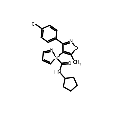 Cc1onc(-c2ccc(Cl)cc2)c1[N+]1(C(=O)NC2CCCC2)C=CC=N1